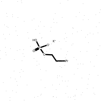 CC(C)CCOP(=O)([O-])O.[K+]